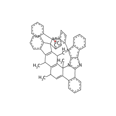 CC1C=C2c3ccccc3-c3nc4c5ccccc5n5c4n3C2(C)C2=C1C(C)C1=C(C2C)C2(c3ccccc31)c1cc(-c3ccccc3)ccc1-c1ccc-5cc12